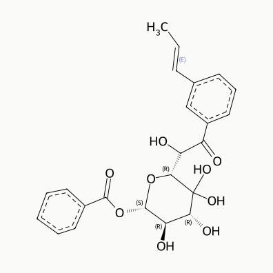 C/C=C/c1cccc(C(=O)C(O)[C@H]2O[C@@H](OC(=O)c3ccccc3)[C@H](O)[C@@H](O)C2(O)O)c1